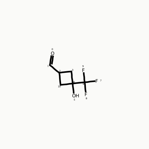 O=CC1CC(O)(C(F)(F)F)C1